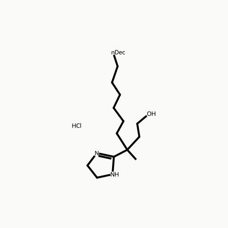 CCCCCCCCCCCCCCCCC(C)(CCO)C1=NCCN1.Cl